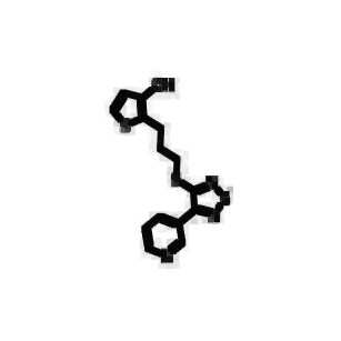 Oc1ccsc1CCCSc1nsnc1-c1cccnc1